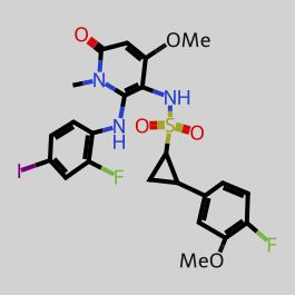 COc1cc(C2CC2S(=O)(=O)Nc2c(OC)cc(=O)n(C)c2Nc2ccc(I)cc2F)ccc1F